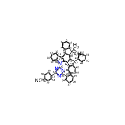 CC1(C)c2ccccc2-c2c1c1c(c3c2c2ccccc2n3-c2nc(-c3ccccc3)nc(-c3ccc(C#N)cc3)n2)-c2ccccc2C1c1ccccc1